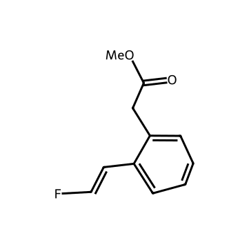 COC(=O)Cc1ccccc1C=CF